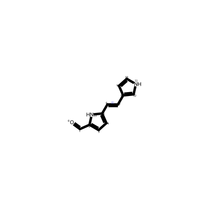 O=Cc1ccc(/C=C/c2cc[nH]c2)[nH]1